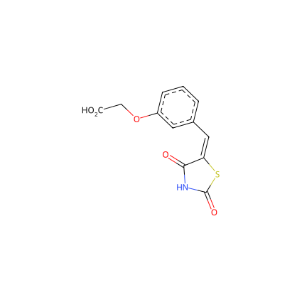 O=C(O)COc1cccc(C=C2SC(=O)NC2=O)c1